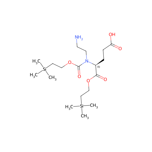 C[Si](C)(C)CCOC(=O)[C@H](CCC(=O)O)N(CCN)C(=O)OCC[Si](C)(C)C